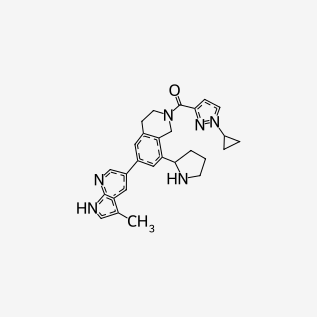 Cc1c[nH]c2ncc(-c3cc4c(c(C5CCCN5)c3)CN(C(=O)c3ccn(C5CC5)n3)CC4)cc12